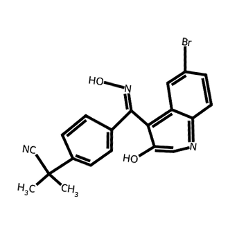 CC(C)(C#N)c1ccc(C(=NO)c2c(O)cnc3ccc(Br)cc23)cc1